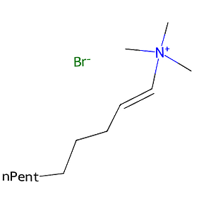 CCCCCCCC/C=C/[N+](C)(C)C.[Br-]